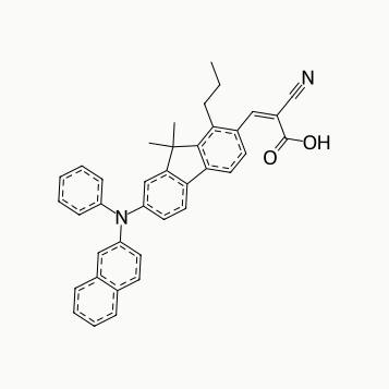 CCCc1c(C=C(C#N)C(=O)O)ccc2c1C(C)(C)c1cc(N(c3ccccc3)c3ccc4ccccc4c3)ccc1-2